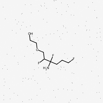 NC(F)(CCCF)C(F)COCCO